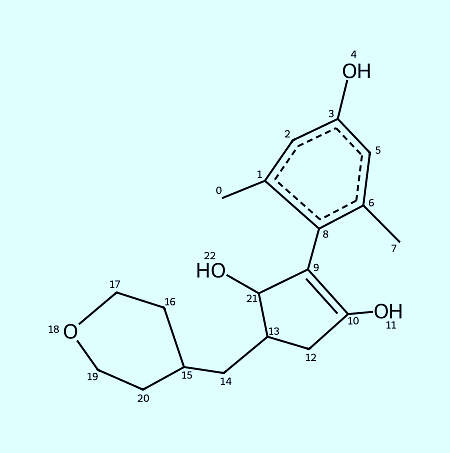 Cc1cc(O)cc(C)c1C1=C(O)CC(CC2CCOCC2)C1O